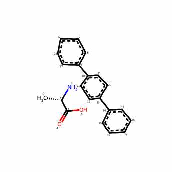 C[C@H](N)C(=O)O.c1ccc(-c2ccc(-c3ccccc3)cc2)cc1